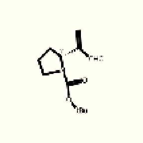 C=C(C=O)[C@H]1CCCN1C(=O)OC(C)(C)C